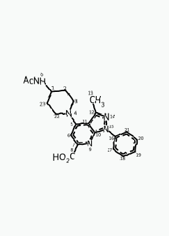 CC(=O)NC1CCN(c2cc(C(=O)O)nc3c2c(C)nn3-c2ccccc2)CC1